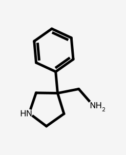 NCC1(c2ccccc2)CCNC1